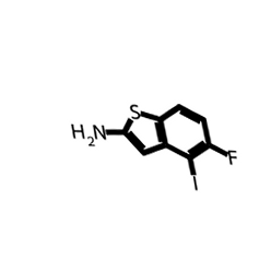 Nc1cc2c(I)c(F)ccc2s1